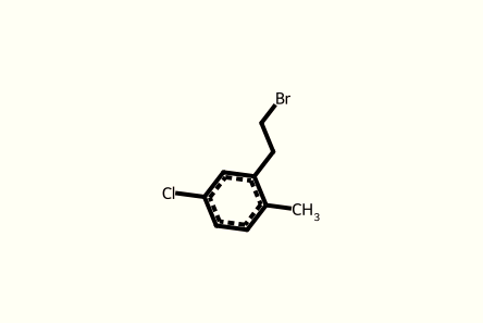 Cc1ccc(Cl)cc1CCBr